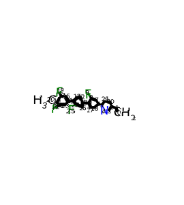 C=CC1C=NC(C2C=C(F)C(c3ccc(C4=CC(F)C(C)C(F)=C4)c(F)c3)=CC2)CC1